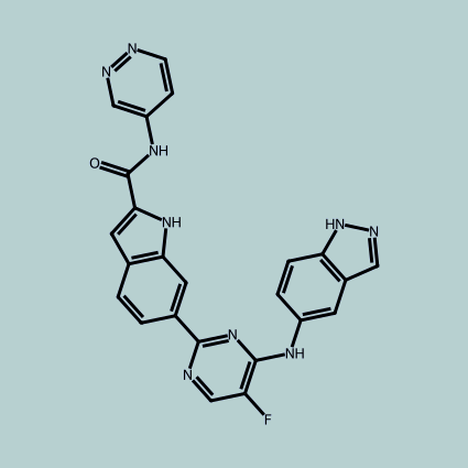 O=C(Nc1ccnnc1)c1cc2ccc(-c3ncc(F)c(Nc4ccc5[nH]ncc5c4)n3)cc2[nH]1